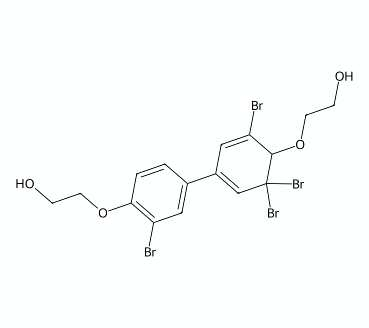 OCCOc1ccc(C2=CC(Br)(Br)C(OCCO)C(Br)=C2)cc1Br